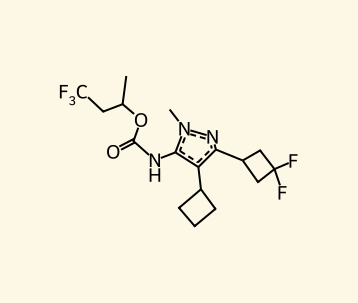 CC(CC(F)(F)F)OC(=O)Nc1c(C2CCC2)c(C2CC(F)(F)C2)nn1C